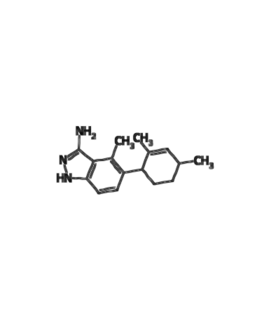 CC1=CC(C)CCC1c1ccc2[nH]nc(N)c2c1C